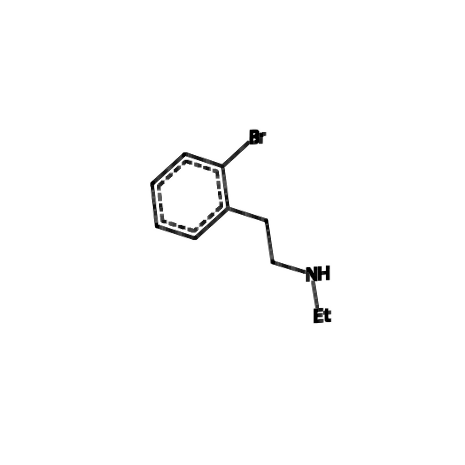 CCNCCc1ccccc1Br